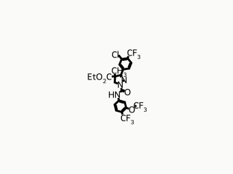 CCOC(=O)C1(C)CN(C(=O)Nc2ccc(C(F)(F)F)c(OC(F)(F)F)c2)N=C1c1ccc(C(F)(F)F)c(Cl)c1